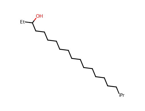 CCC(O)CCCCCCCCCCCCCCC(C)C